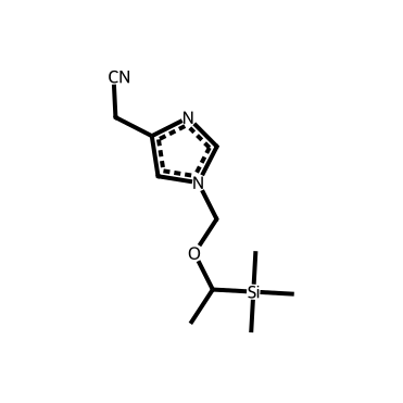 CC(OCn1cnc(CC#N)c1)[Si](C)(C)C